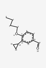 CCCCOc1ccc(C=O)cc1C1CC1